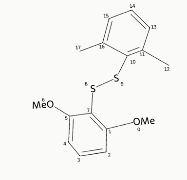 COc1cccc(OC)c1SSc1c(C)cccc1C